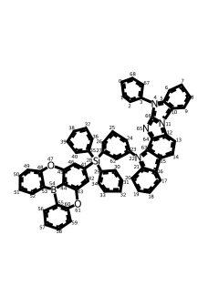 c1ccc(-n2c3ccccc3n3c4ccc5c6ccccc6n(-c6cccc([Si](c7ccccc7)(c7ccccc7)c7cc8c9c(c7)Oc7ccccc7B9c7ccccc7O8)c6)c5c4nc23)cc1